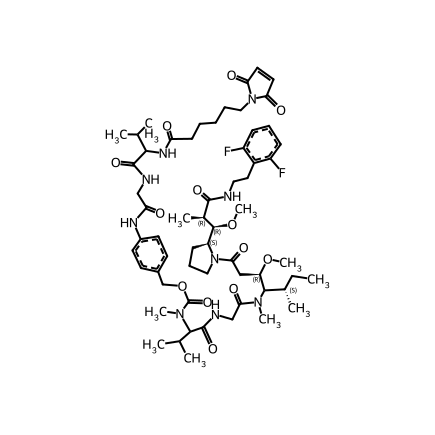 CC[C@H](C)C([C@@H](CC(=O)N1CCC[C@H]1[C@H](OC)[C@@H](C)C(=O)NCCc1c(F)cccc1F)OC)N(C)C(=O)CNC(=O)C(C(C)C)N(C)C(=O)OCc1ccc(NC(=O)CNC(=O)C(NC(=O)CCCCCN2C(=O)C=CC2=O)C(C)C)cc1